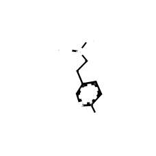 CC(C)(C)N(CCc1ccc(Cl)nc1)C(=O)O